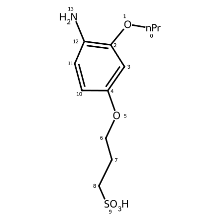 CCCOc1cc(OCCCS(=O)(=O)O)ccc1N